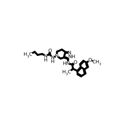 CCCCNC(=O)NN1CCc2n[nH]c(NC(=O)C(C)c3cccc4cc(OC)ccc34)c2C1